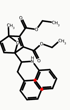 CCOC(=O)C1=C(C(=O)OCC)C2(C(Cc3ccccc3)Nc3ccccc3)C=CC1(C)O2